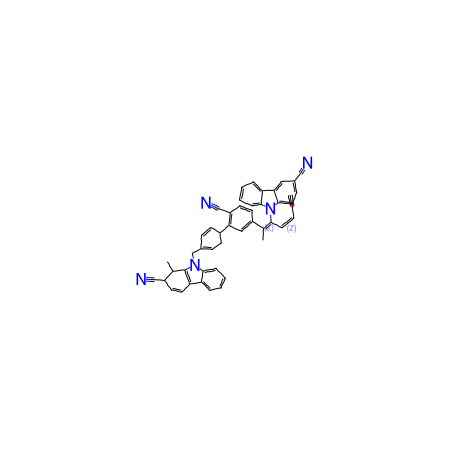 C#C/C=C\C(=C(/C)c1ccc(C#N)c(C2C=CC(Cn3c4c(c5ccccc53)C=CC(C#N)C4C)=CC2)c1)n1c2ccccc2c2cc(C#N)ccc21